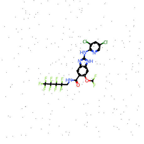 O=C(NCC(F)(F)C(F)(F)C(F)(F)C(F)(F)F)c1cc2nc(Nc3ncc(Cl)cc3Cl)[nH]c2cc1OC(F)F